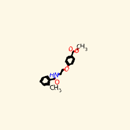 COC(=O)c1ccc(OCCNC(=O)c2ccccc2C)cc1